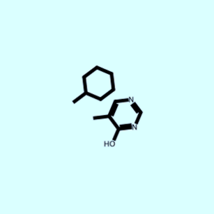 CC1CCCCC1.Cc1cncnc1O